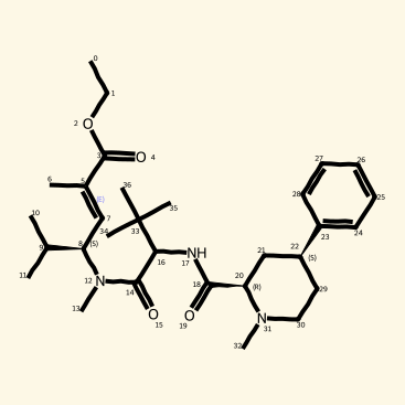 CCOC(=O)/C(C)=C/[C@H](C(C)C)N(C)C(=O)C(NC(=O)[C@H]1C[C@@H](c2ccccc2)CCN1C)C(C)(C)C